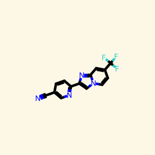 N#Cc1ccc(-c2cn3ccc(C(F)(F)F)cc3n2)nc1